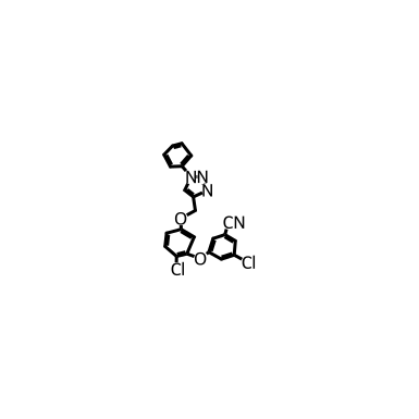 N#Cc1cc(Cl)cc(Oc2cc(OCc3cn(-c4ccccc4)nn3)ccc2Cl)c1